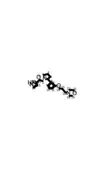 O=C(CN1CCCC1c1cccc(OCCCN2CCOCC2)c1)c1ccn[nH]1